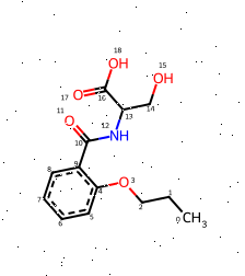 CCCOc1ccccc1C(=O)NC(CO)C(=O)O